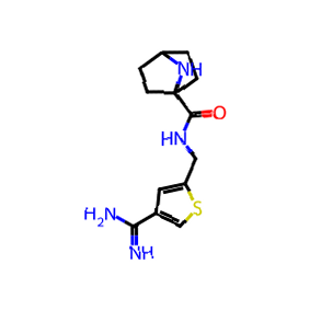 N=C(N)c1csc(CNC(=O)C23CCC(CC2)N3)c1